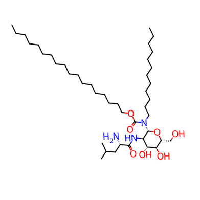 CCCCCCCCCCCCCCCCCCOC(=O)N(CCCCCCCCCCCC)[C@@H]1O[C@H](CO)[C@@H](O)[C@H](O)[C@H]1NC(=O)[C@@H](N)CC(C)C